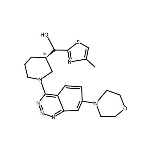 Cc1csc(C(O)[C@@H]2CCCN(c3nnnc4cc(N5CCOCC5)ccc34)C2)n1